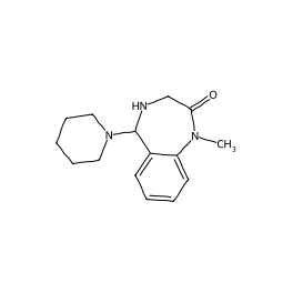 CN1C(=O)CNC(N2CCCCC2)c2ccccc21